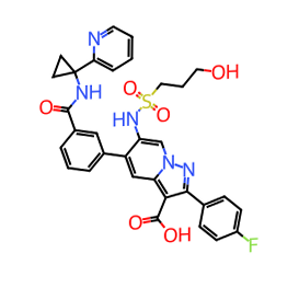 O=C(NC1(c2ccccn2)CC1)c1cccc(-c2cc3c(C(=O)O)c(-c4ccc(F)cc4)nn3cc2NS(=O)(=O)CCCO)c1